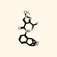 CC(C)[C@@H]1C2CCC1c1c(NC(=O)c3cn(C)nc3C(F)F)cccc12